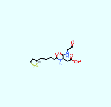 O=CCNC(=O)C(CC(=O)O)NC(=O)CCCC[C@@H]1CCSS1